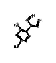 N=CN(N=N)c1ncc(N)cc1C(F)(F)F